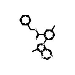 Cc1ccc(-n2cc(C)c3ncncc32)c(C(=O)OCc2ccccc2)c1